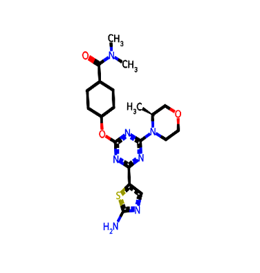 C[C@H]1COCCN1c1nc(OC2CCC(C(=O)N(C)C)CC2)nc(-c2cnc(N)s2)n1